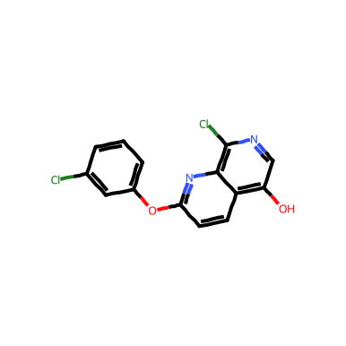 Oc1cnc(Cl)c2nc(Oc3cccc(Cl)c3)ccc12